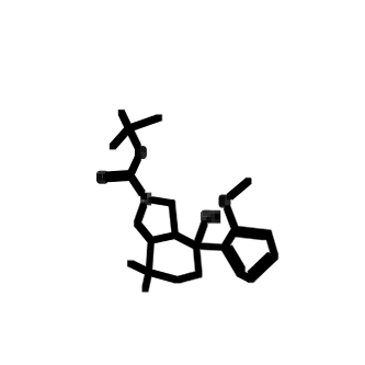 COc1ccccc1C1(O)CCC(C)(C)C2CN(C(=O)OC(C)(C)C)CC21